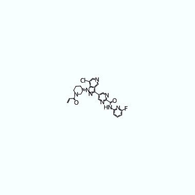 C=CC(=O)N1CCC[C@@H](n2nc(-c3cnc(C(=O)Nc4cccc(F)n4)nc3)c3cncc(Cl)c32)C1